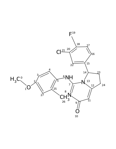 COc1ccc(Nc2nc(=O)cc3n2C(c2ccc(F)c(Cl)c2)CC3)c(C)c1